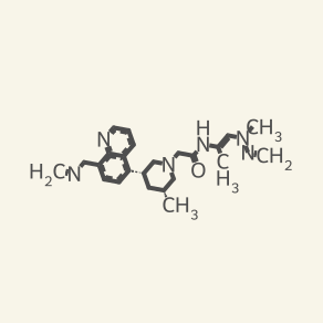 C=NCc1ccc([C@H]2C[C@@H](C)CN(CC(=O)N/C(C)=C/N(C)N=C)C2)c2cccnc12